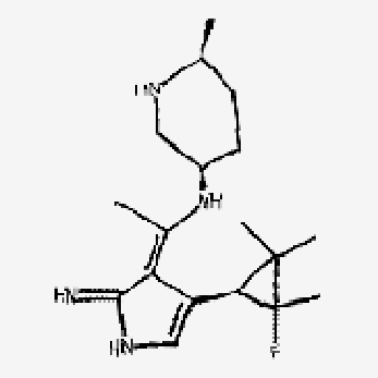 C/C(N[C@@H]1CC[C@H](C)NC1)=C1\C(=N)NC=C1[C@H]1C(C)(C)C1(C)F